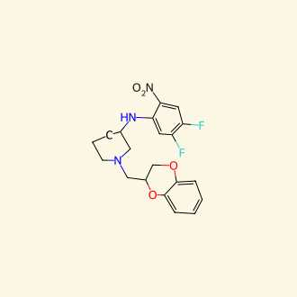 O=[N+]([O-])c1cc(F)c(F)cc1NC1CCCN(CC2COc3ccccc3O2)C1